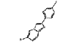 Fc1ccc(-c2cn3cc(Br)ccc3n2)cc1